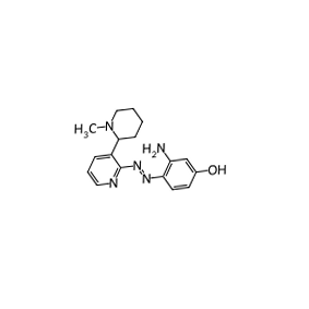 CN1CCCCC1c1cccnc1N=Nc1ccc(O)cc1N